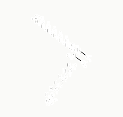 O.O.O.O.O.O.O.O.O.O.O.O.O=[N+]([O-])[O-].O=[N+]([O-])[O-].[Mg+2].[Zn]